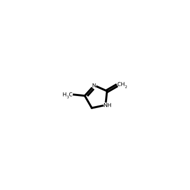 C=C1N=C(C)CN1